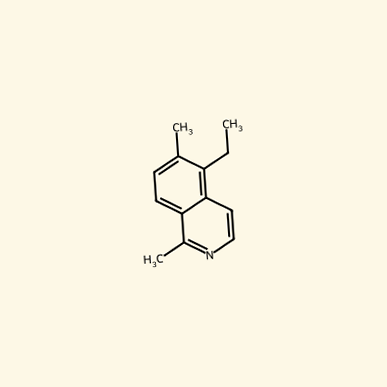 CCc1c(C)ccc2c(C)nccc12